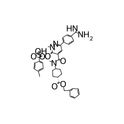 Cc1ccc(S(=O)(=O)O)cc1.Cn1nc(-c2ccc(C(=N)N)cc2)cc(C(=O)N(C)[C@H]2CC[C@H](C(=O)OCc3ccccc3)CC2)c1=O